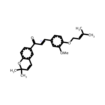 COc1cc(/C=C/C(=O)c2ccc3c(c2)C=CC(C)(C)O3)ccc1OCC=C(C)C